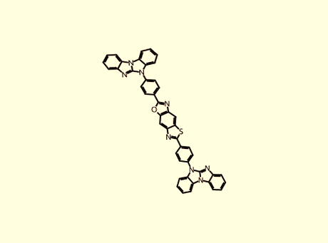 c1ccc2c(c1)nc1n(-c3ccc(-c4nc5cc6sc(-c7ccc(-n8c9ccccc9n9c%10ccccc%10nc89)cc7)nc6cc5o4)cc3)c3ccccc3n21